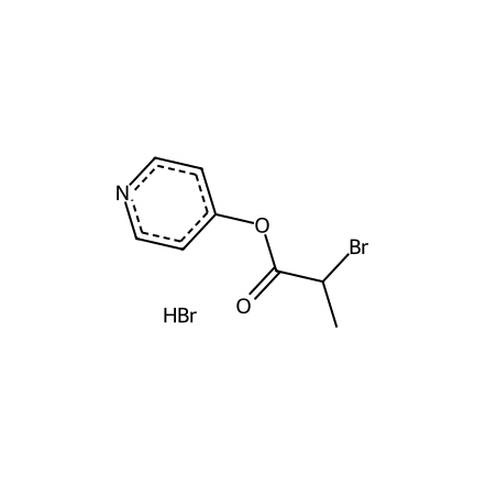 Br.CC(Br)C(=O)Oc1ccncc1